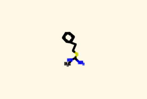 CNC(N)SCCc1ccccc1